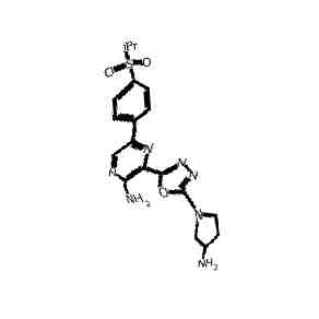 CC(C)S(=O)(=O)c1ccc(-c2cnc(N)c(-c3nnc(N4CCC(N)C4)o3)n2)cc1